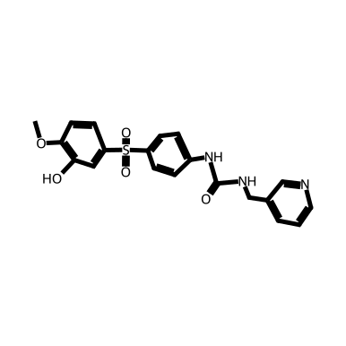 COc1ccc(S(=O)(=O)c2ccc(NC(=O)NCc3cccnc3)cc2)cc1O